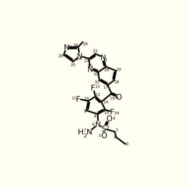 CCCS(=O)(=O)N(N)c1cc(F)c(F)c(C(=O)c2ccc3ncc(-n4ccnc4C)nc3c2)c1F